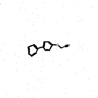 N#CCOc1ccc(-c2c[c]ccc2)cc1